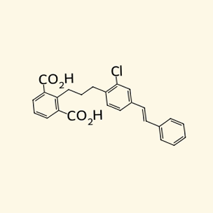 O=C(O)c1cccc(C(=O)O)c1CCCc1ccc(C=Cc2ccccc2)cc1Cl